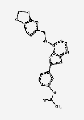 CC(=O)Nc1cccc(-c2cc3ncnc(NCc4ccc5c(c4)OCO5)c3s2)c1